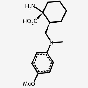 COc1ccc(N(C)C[C@@H]2CCCC[C@]2(N)C(=O)O)cc1